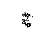 CCN(C[C@](C)(O)C(F)(F)F)C(=O)Nc1nnc(Cc2cccc(F)c2)s1